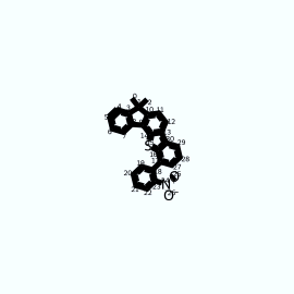 CC1(C)c2c#cccc2-c2c1ccc1c2sc2c(-c3ccccc3[N+](=O)[O-])cccc21